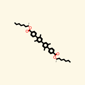 CCCCCC[C@H](C)OC(=O)c1ccc(-c2c(C)cc(-c3cc(C)c(-c4ccc(C(=O)O[C@@H](C)CCCCCC)cc4)c(C)c3)cc2C)cc1